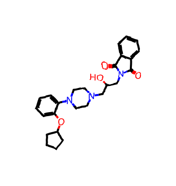 O=C1c2ccccc2C(=O)N1CC(O)CN1CCN(c2ccccc2OC2CCCC2)CC1